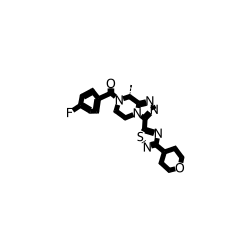 C[C@@H]1c2nnc(-c3nc(C4CCOCC4)ns3)n2CCN1C(=O)c1ccc(F)cc1